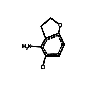 Nc1c(Cl)ccc2c1CCO2